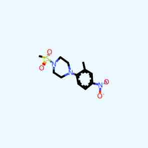 Cc1cc([N+](=O)[O-])ccc1N1CCN(S(C)(=O)=O)CC1